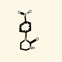 O=C1NCCCN1c1ccc([N+](=O)[O-])cc1